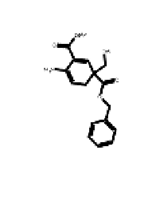 COC(=O)C1=CC(CO)(C(=O)OCc2ccccc2)CC=C1N